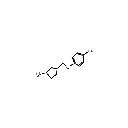 N#Cc1ccc(OC[C@H]2CC[C@@H](N)C2)cc1